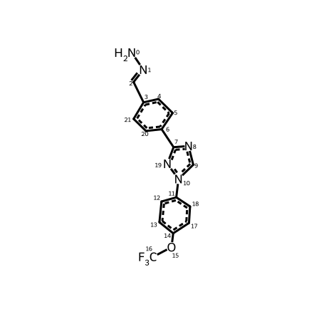 NN=Cc1ccc(-c2ncn(-c3ccc(OC(F)(F)F)cc3)n2)cc1